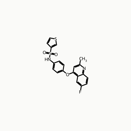 Cc1cc(Oc2ccc(NS(=O)(=O)c3ccsc3)cc2)c2cc(F)ccc2n1